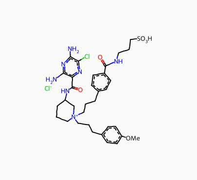 COc1ccc(CCC[N+]2(CCCc3ccc(C(=O)NCCCS(=O)(=O)O)cc3)CCCC(NC(=O)c3nc(Cl)c(N)nc3N)C2)cc1.[Cl-]